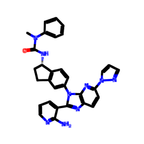 CN(C(=O)N[C@H]1CCc2cc(-n3c(-c4cccnc4N)nc4ccc(-n5cccn5)nc43)ccc21)c1ccccc1